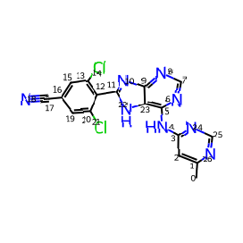 Cc1cc(Nc2ncnc3nc(-c4c(Cl)cc(C#N)cc4Cl)[nH]c23)ncn1